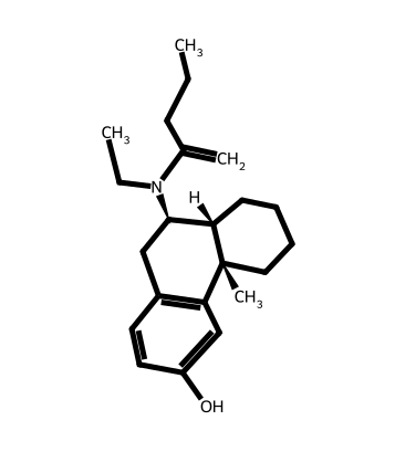 C=C(CCC)N(CC)[C@@H]1Cc2ccc(O)cc2[C@@]2(C)CCCC[C@@H]12